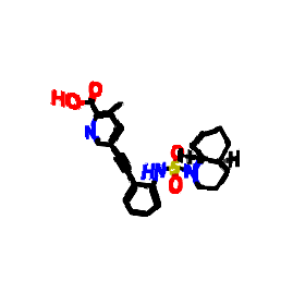 Cc1cc(C#Cc2ccccc2NS(=O)(=O)N2CCC[C@@H]3CCCC[C@H]32)cnc1C(=O)O